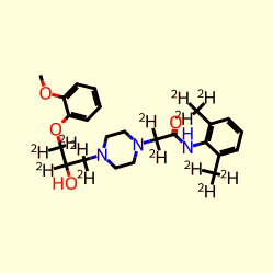 [2H]C([2H])([2H])c1cccc(C([2H])([2H])[2H])c1NC(=O)C([2H])([2H])N1CCN(C([2H])([2H])C([2H])(O)C([2H])([2H])Oc2ccccc2OC)CC1